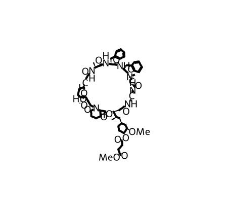 COC(=O)CCC(=O)O[C@@H]1CC[C@@H](C[C@@H](C)[C@@H]2CC(=O)NCCNC(=O)CN(C)C(=O)[C@H](Cc3ccccc3)NC(=O)[C@H](Cc3ccccc3)NC(=O)[C@H](C)NC(=O)CC[C@@H]3CC[C@@H](C)[C@@](O)(O3)C(=O)C(=O)N3CCCC[C@H]3C(=O)O2)C[C@H]1OC